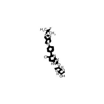 CC(C)(F)Cn1cc2c(n1)CN(c1ccc(-c3nc4nc(O[C@@H]5CO[C@H]6[C@@H]5OC[C@H]6O)[nH]c4cc3Cl)cc1)C2